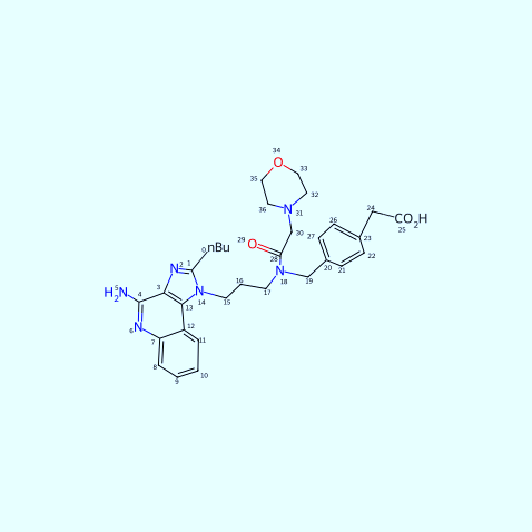 CCCCc1nc2c(N)nc3ccccc3c2n1CCCN(Cc1ccc(CC(=O)O)cc1)C(=O)CN1CCOCC1